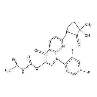 CC[C@@H](NC(=O)Oc1cn(-c2ccc(F)cc2F)c2nc(N3CCC(C)(O)C3=O)ccc2c1=O)C(F)(F)F